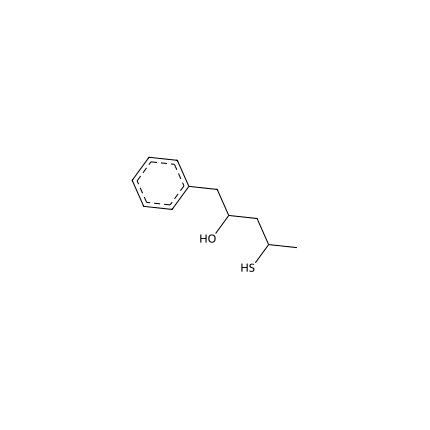 CC(S)CC(O)Cc1ccccc1